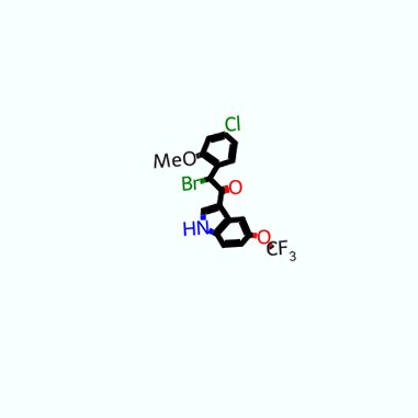 COc1cc(Cl)ccc1C(Br)C(=O)c1c[nH]c2ccc(OC(F)(F)F)cc12